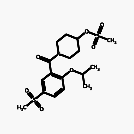 CC(C)Oc1ccc(S(C)(=O)=O)cc1C(=O)N1CCC(OS(C)(=O)=O)CC1